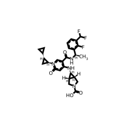 C[C@@H](NC(=O)c1cn([C@H]2C[C@@H]2C2CC2)c(=O)cc1N[C@@H]1[C@@H]2CN(C(=O)O)C[C@@H]21)c1cccc(C(F)F)c1F